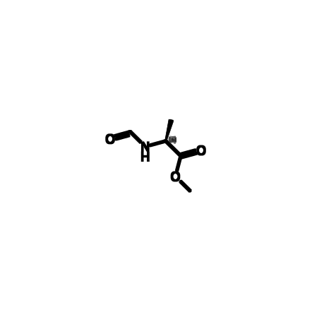 COC(=O)[C@H](C)NC=O